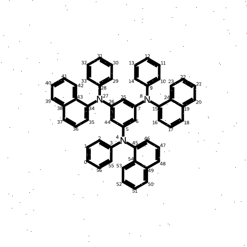 c1ccc(N(c2cc(N(c3ccccc3)c3cccc4ccccc34)cc(N(c3ccccc3)c3cccc4ccccc34)c2)c2cccc3ccccc23)cc1